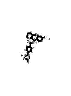 O=C(NC(c1ccc(C(F)(F)F)cc1)c1ncccc1F)c1ccc(-c2nc(=O)o[nH]2)cc1